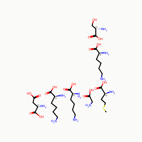 CSCC[C@H](N)C(=O)O.NCC(=O)O.NCCCC[C@H](N)C(=O)O.NCCCC[C@H](N)C(=O)O.NCCCC[C@H](N)C(=O)O.N[C@@H](CC(=O)O)C(=O)O.N[C@@H](CO)C(=O)O